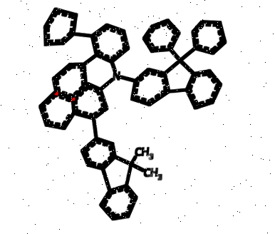 CC1(C)c2ccccc2-c2ccc(-c3cc(N(c4ccc5c(c4)C(c4ccccc4)(c4ccccc4)c4ccccc4-5)c4cccc(-c5ccccc5)c4-c4ccccc4)cc4ccccc34)cc21